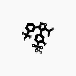 CS(=O)(=O)c1ccc(-c2c(-c3cccc(C(F)(F)F)c3)noc2C(F)F)cc1F